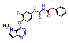 Cn1ccc2ncnc(Oc3ccc(NC(=S)NC(=O)Cc4ccccc4)cc3F)c21